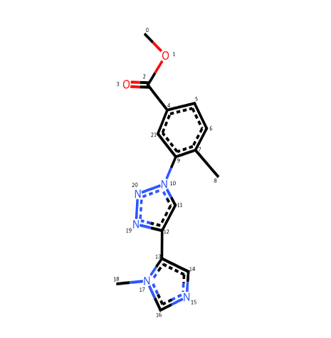 COC(=O)c1ccc(C)c(-n2cc(-c3cncn3C)nn2)c1